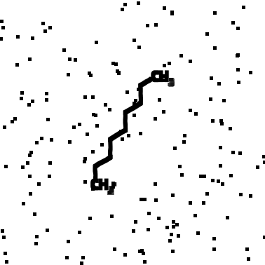 [CH2]CCCCCCCC